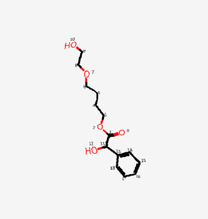 O=C(OCCCCOCCO)C(O)c1ccccc1